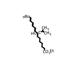 C=C(C)C(=O)O.CCCCC=CC=CC=CCCCCCCCC(=O)OCC